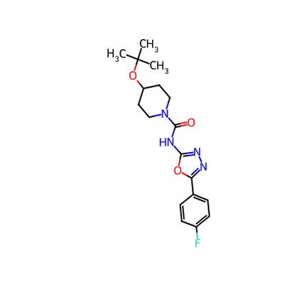 CC(C)(C)OC1CCN(C(=O)Nc2nnc(-c3ccc(F)cc3)o2)CC1